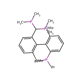 COc1cccc(C(P(C)C)P(C)C)c1-c1c(OC)cccc1P(C(C)C)C(C)C